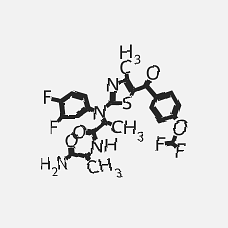 Cc1nc(N(c2ccc(F)c(F)c2)C(C)C(=O)NC(C)C(N)=O)sc1C(=O)c1ccc(OC(F)F)cc1